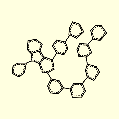 c1ccc(-c2ccc(-c3nc(-c4cccc(-c5cccc(-c6cccc(-c7cccc(-c8ccccc8)c7)c6)c5)c4)nc4c3c3ccccc3n4-c3ccccc3)cc2)cc1